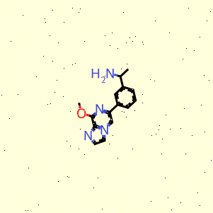 COc1nc(-c2cccc(C(C)N)c2)cn2ccnc12